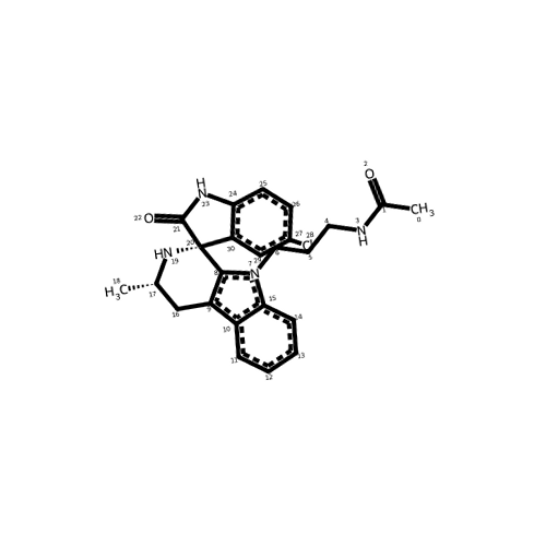 CC(=O)NCCCn1c2c(c3ccccc31)C[C@H](C)N[C@@]21C(=O)Nc2ccc(Cl)cc21